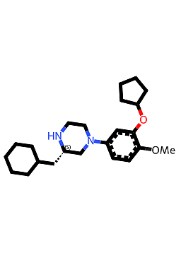 COc1ccc(N2CCN[C@@H](CC3CCCCC3)C2)cc1OC1CCCC1